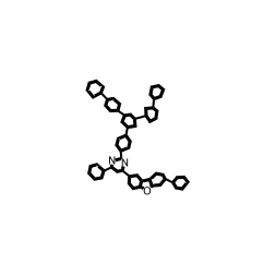 c1ccc(-c2ccc(-c3cc(-c4ccc(-c5nc(-c6ccccc6)cc(-c6ccc7oc8cc(-c9ccccc9)ccc8c7c6)n5)cc4)cc(-c4cccc(-c5ccccc5)c4)c3)cc2)cc1